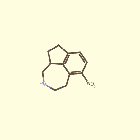 O=[N+]([O-])c1ccc2c3c1CCNCC3CC2